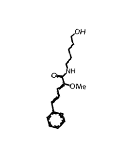 CO/C(=C\C=C\c1ccccc1)C(=O)NCCCCCO